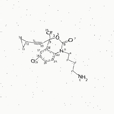 NCCCCN1C(=O)OC(C#CC2CC2)(C(F)(F)F)c2cc(Cl)ccc21